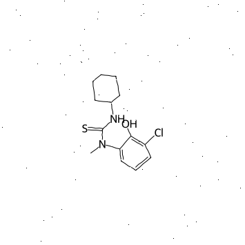 CN(C(=S)NC1CCCCC1)c1cccc(Cl)c1O